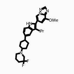 COc1cc(-c2[nH]c3ccc(C4CCC(N5CCCC(F)(F)C5)CC4)cc3c2C(C)C)cn2ncnc12